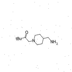 CC(C)(C)C(=O)CN1CCC(CN)CC1